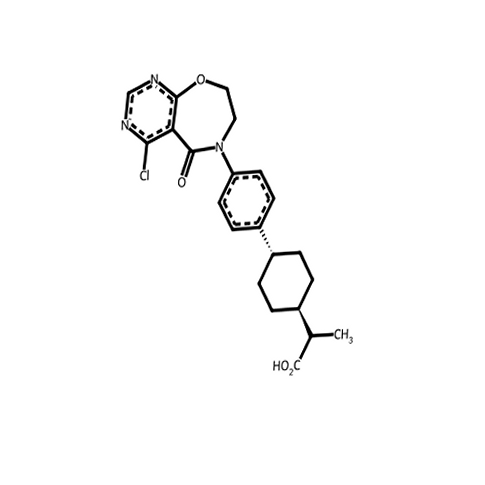 CC(C(=O)O)[C@H]1CC[C@H](c2ccc(N3CCOc4ncnc(Cl)c4C3=O)cc2)CC1